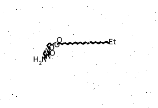 CCC=CCC=CCC=CCC=CCC=CCC=CCCC(=O)OC[C@@H]1CC[C@@H](n2ccc(N)nc2=O)O1